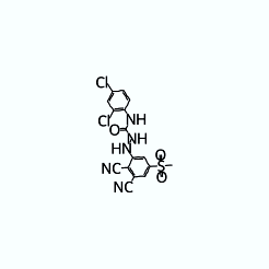 CS(=O)(=O)c1cc(C#N)c(C#N)c(NNC(=O)Nc2ccc(Cl)cc2Cl)c1